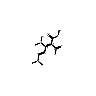 COC(=O)C(C(C)=O)=C(C=CN(C)C)N(C)C